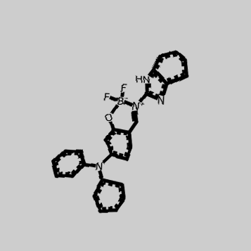 F[B-]1(F)Oc2cc(N(c3ccccc3)c3ccccc3)ccc2C=[N+]1c1nc2ccccc2[nH]1